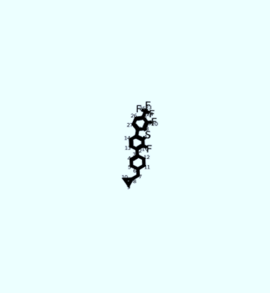 Fc1c(C2=CCC(CC3CC3)CC2)ccc2c1sc1c(F)c(C(F)(F)F)ccc12